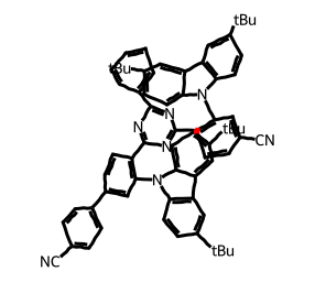 CC(C)(C)c1ccc2c(c1)c1cc(C(C)(C)C)ccc1n2-c1cc(C#N)ccc1-c1nc(-c2ccccc2)nc(-c2ccc(-c3ccc(C#N)cc3)cc2-n2c3ccc(C(C)(C)C)cc3c3cc(C(C)(C)C)ccc32)n1